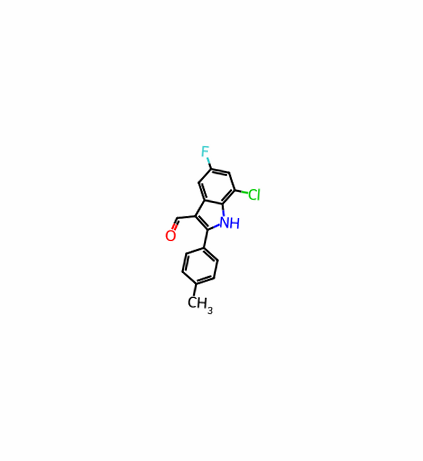 Cc1ccc(-c2[nH]c3c(Cl)cc(F)cc3c2C=O)cc1